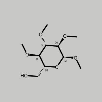 CO[C@H]1O[C@H](CO)[C@@H](OC)[C@H](OC)[C@H]1OC